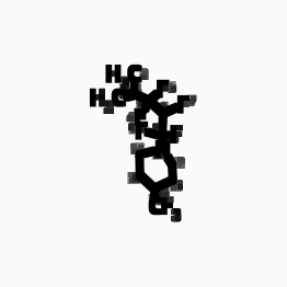 C=C(C)C(F)(F)C(F)C(F)(F)N1CCC(C(F)(F)F)CC1